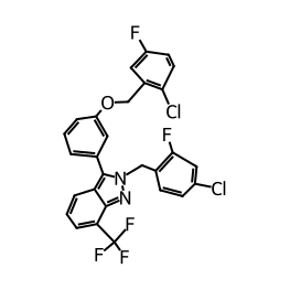 Fc1ccc(Cl)c(COc2cccc(-c3c4cccc(C(F)(F)F)c4nn3Cc3ccc(Cl)cc3F)c2)c1